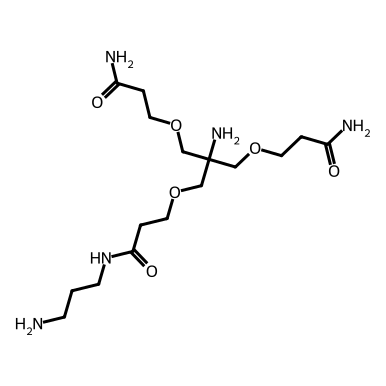 NCCCNC(=O)CCOCC(N)(COCCC(N)=O)COCCC(N)=O